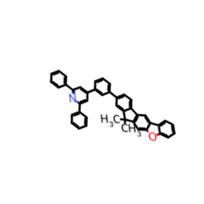 CC1(C)c2cc(-c3cccc(-c4cc(-c5ccccc5)nc(-c5ccccc5)c4)c3)ccc2-c2cc3c(cc21)oc1ccccc13